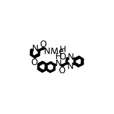 CNC(=O)c1cc(Oc2ccc3c(c2)CC(NC(=O)c2nc4ccccc4nc2O)CC3)ccn1